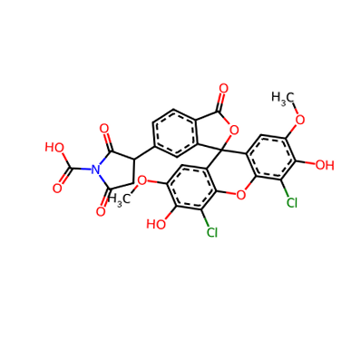 COc1cc2c(c(Cl)c1O)Oc1c(cc(OC)c(O)c1Cl)C21OC(=O)c2ccc(C3CC(=O)N(C(=O)O)C3=O)cc21